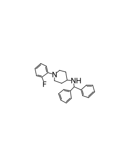 Fc1ccccc1N1CCC(NC(c2ccccc2)c2ccccc2)CC1